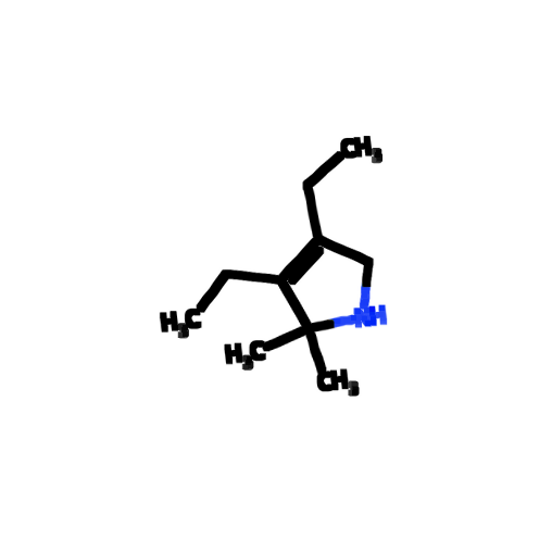 CCC1=C(CC)C(C)(C)NC1